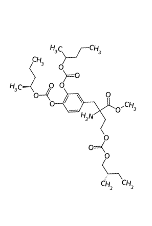 CCCC(C)OC(=O)Oc1cc(CC(N)(CCOC(=O)OC[C@@H](C)CC)C(=O)OC)ccc1OC(=O)O[C@@H](C)CCC